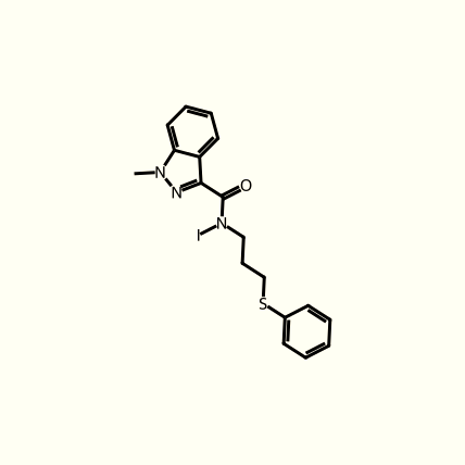 Cn1nc(C(=O)N(I)CCCSc2ccccc2)c2ccccc21